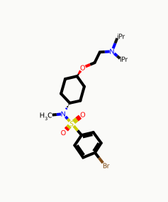 CC(C)N(CCO[C@H]1CC[C@H](N(C)S(=O)(=O)c2ccc(Br)cc2)CC1)C(C)C